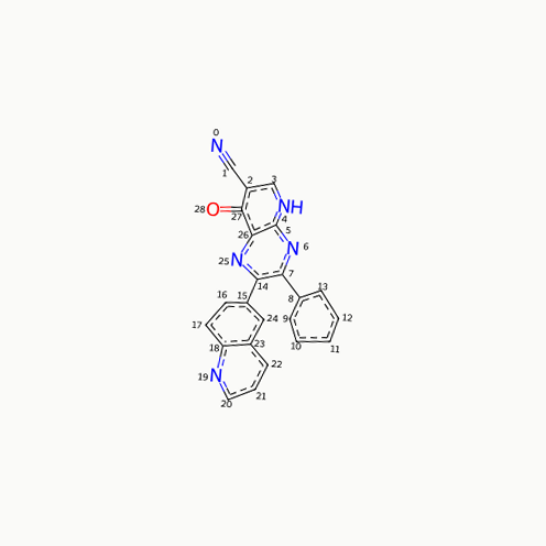 N#Cc1c[nH]c2nc(-c3ccccc3)c(-c3ccc4ncccc4c3)nc2c1=O